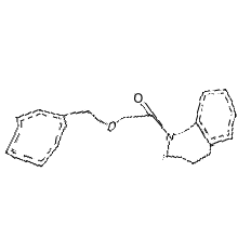 O=C(OCc1ccccc1)N1[C]Cc2ccccc21